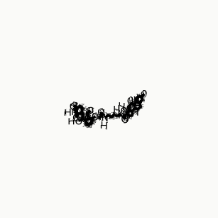 C[C@@H]1C[C@H]2[C@@H]3CCC4=CC(=O)C=C[C@]4(C)[C@@]3(F)[C@@H](O)C[C@]2(C)[C@@]1(O)C(=O)NCCCCNC(=O)COc1cccc2c1C(=O)N(C1CCC(=O)NC1=O)C2O